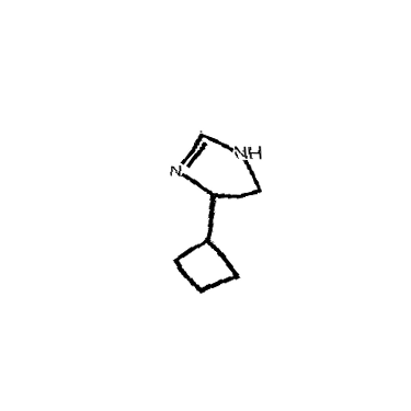 [C]1=NC(C2CCC2)CN1